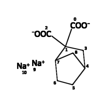 O=C([O-])C1(C(=O)[O-])CC2CCC1C2.[Na+].[Na+]